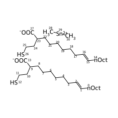 CCCCCCCCC=CCCCCCCC(CCS)C(=O)[O-].CCCCCCCCC=CCCCCCCC(CCS)C(=O)[O-].[CH3][Sn+2][CH3]